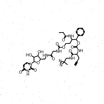 C#CCC(NC(=O)OC(c1ccccc1)C(CCOC(=O)NCC(=O)NCC1OC(n2ccc(=O)[nH]c2=O)C(O)C1O)NC(=O)CC)C(=O)NCC1(C)N=N1